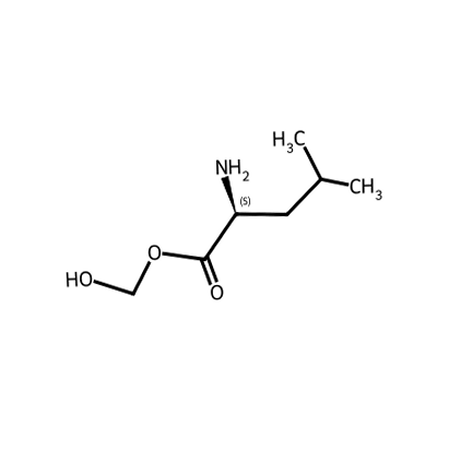 CC(C)C[C@H](N)C(=O)OCO